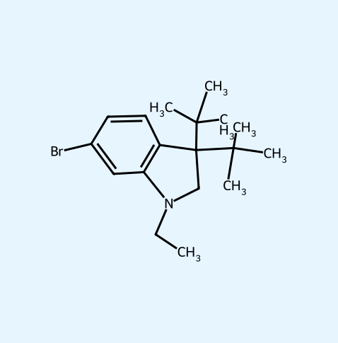 CCN1CC(C(C)(C)C)(C(C)(C)C)c2ccc(Br)cc21